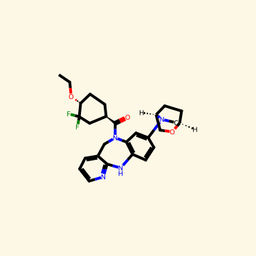 CCO[C@@H]1CC[C@@H](C(=O)N2Cc3cccnc3Nc3ccc(N4C[C@H]5CC[C@@H]4CO5)cc32)CC1(F)F